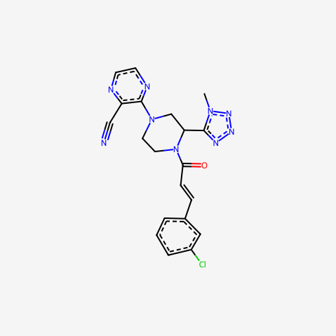 Cn1nnnc1C1CN(c2nccnc2C#N)CCN1C(=O)/C=C/c1cccc(Cl)c1